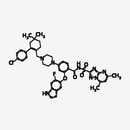 Cc1cc(C)n2nc(S(=O)(=O)NC(=O)c3ccc(N4CCN(CC5=C(c6ccc(Cl)cc6)CC(C)(C)CC5)CC4)cc3Oc3cc4cc[nH]c4cc3F)nc2n1